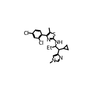 CCC(Nc1nc(-c2ccc(Cl)cc2Cl)c(C)s1)C(c1cn(C)cn1)C1CC1